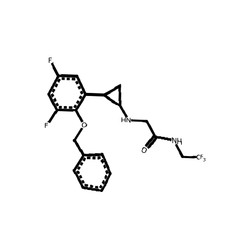 O=C(CNC1CC1c1cc(F)cc(F)c1OCc1ccccc1)NCC(F)(F)F